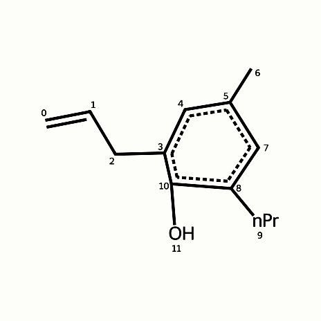 C=CCc1cc(C)cc(CCC)c1O